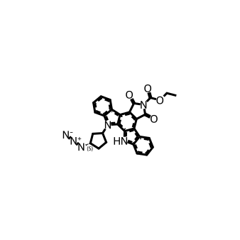 CCOC(=O)N1C(=O)c2c(c3c4ccccc4n(C4CC[C@H](N=[N+]=[N-])C4)c3c3[nH]c4ccccc4c23)C1=O